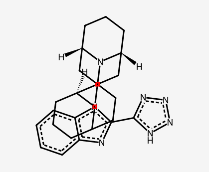 c1ccc2c(c1)nc(-c1nnn[nH]1)n2C1C[C@H]2CCC[C@@H](C1)N2C1CCC2CCC[C@@H]1C2